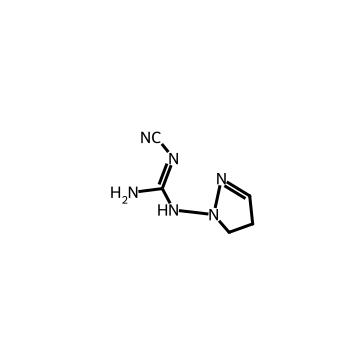 N#CN=C(N)NN1CCC=N1